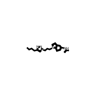 C=C(C)Nc1ccc2c(ccn2CCCn2cc(CCCC)nn2)c1